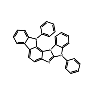 c1ccc(-n2c3ccccc3c3ccc4nc5n(-c6ccccc6)c6ccccc6n5c4c32)cc1